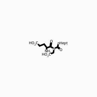 CCCCCCCC(=O)N(CC(=O)O)C(=O)C(N)CCC(=O)O